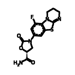 NC(=O)[C@H]1CN(c2cc(F)c3c(c2)SC2=NCCCN23)C(=O)O1